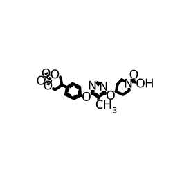 Cc1c(Oc2ccc(C3COS(=O)(=O)OC3)cc2)ncnc1OC1CCN(C(=O)O)CC1